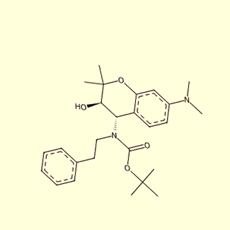 CN(C)c1ccc2c(c1)OC(C)(C)[C@H](O)[C@H]2N(CCc1ccccc1)C(=O)OC(C)(C)C